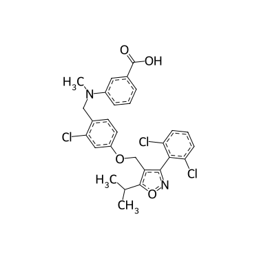 CC(C)c1onc(-c2c(Cl)cccc2Cl)c1COc1ccc(CN(C)c2cccc(C(=O)O)c2)c(Cl)c1